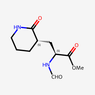 COC(=O)[C@H](C[C@@H]1CCCNC1=O)NC=O